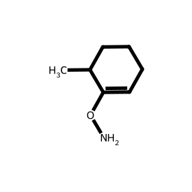 CC1CCCC=C1ON